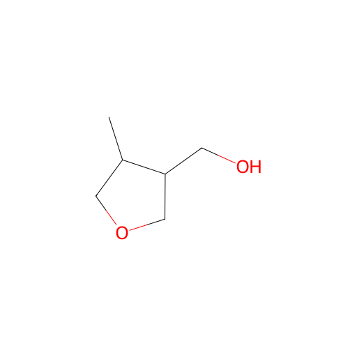 CC1COCC1CO